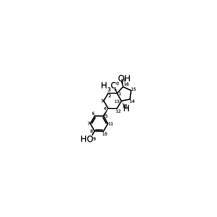 C[C@]12CC[C@H](c3ccc(O)cc3)C[C@@H]1CC[C@@H]2O